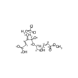 C=C(C=CC(=O)O)C(=O)OCCO.C=C(Cl)Cl.C=CC(=O)OC